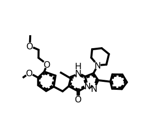 COCCOc1cc(Cc2c(C)[nH]c3c(N4CCCCC4)c(-c4ccccc4)nn3c2=O)ccc1OC